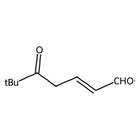 CC(C)(C)C(=O)CC=C[C]=O